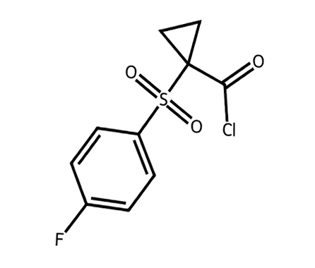 O=C(Cl)C1(S(=O)(=O)c2ccc(F)cc2)CC1